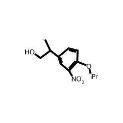 [CH2]C(CO)c1ccc(OC(C)C)c([N+](=O)[O-])c1